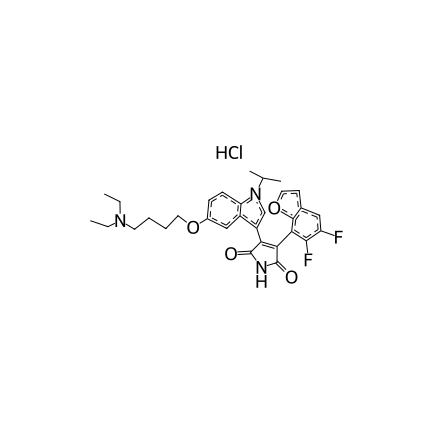 CCN(CC)CCCCOc1ccc2c(c1)c(C1=C(c3c(F)c(F)cc4ccoc34)C(=O)NC1=O)cn2C(C)C.Cl